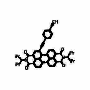 C#Cc1ccc(C#Cc2cc3c4c(ccc5c6ccc7c8c(ccc(c2c45)c86)C(=O)N(C(C(C)C)C(C)C)C7=O)C(=O)N(C(C(C)C)C(C)C)C3=O)cc1